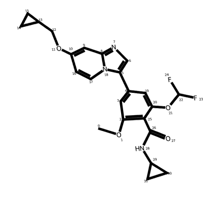 COc1cc(-c2cnc3cc(OCC4CC4)ccn23)cc(OC(F)F)c1C(=O)NC1CC1